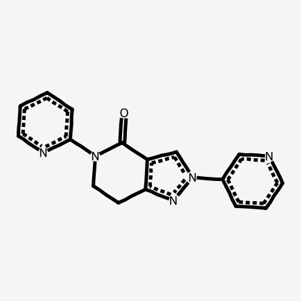 O=C1c2cn(-c3cccnc3)nc2CCN1c1ccccn1